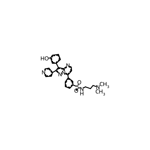 CN(C)CCCNS(=O)(=O)c1cccc(-c2ccnc3c(-c4cccc(O)c4)c(-c4ccncc4)nn23)c1